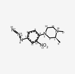 C[C@H]1CN(c2ccc(N=[N+]=[N-])cc2[N+](=O)[O-])CCN1C